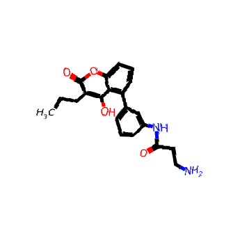 CCCc1c(O)c2c(-c3cccc(NC(=O)CCN)c3)cccc2oc1=O